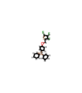 Fc1sc(COc2ccc([SH](c3ccccc3)c3ccccc3)cc2)c(F)c1F